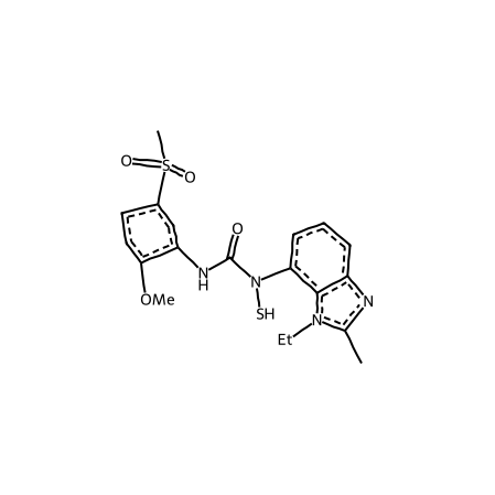 CCn1c(C)nc2cccc(N(S)C(=O)Nc3cc(S(C)(=O)=O)ccc3OC)c21